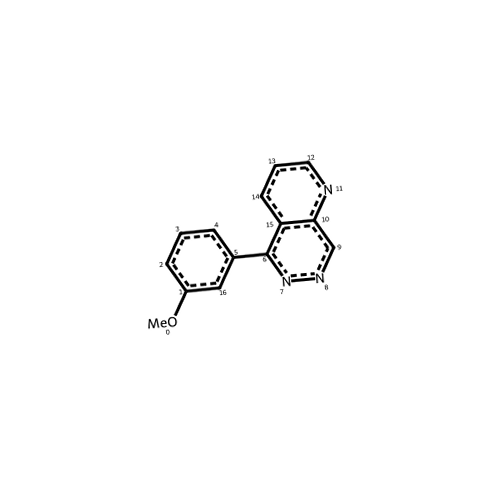 COc1cccc(-c2nncc3ncccc23)c1